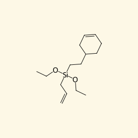 C=CC[Si](CCC1CC=CCC1)(OCC)OCC